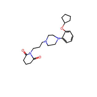 O=C1CCCC(=O)N1CCCN1CCN(c2ccccc2OC2CCCC2)CC1